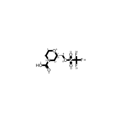 O=C(O)N1CCO[C@H](COS(=O)(=O)C(F)(F)F)C1